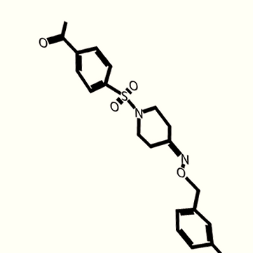 CC(=O)c1ccc(S(=O)(=O)N2CCC(=NOCc3cccc(C#N)c3)CC2)cc1